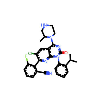 CC(C)c1ccccc1-n1c(=O)nc(N2CCNCC2C)c2cc(Cl)c(-c3c(F)cccc3C#N)nc21